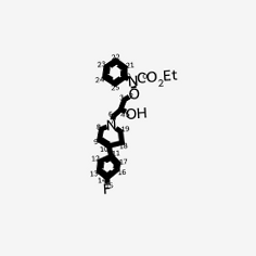 CCOC(=O)N(OCC(O)CN1CC=C(c2ccc(F)cc2)CC1)c1ccccc1